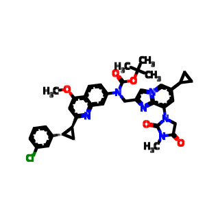 COc1cc([C@H]2C[C@@H]2c2cccc(Cl)c2)nc2cc(N(Cc3cn4cc(C5CC5)cc(N5CC(=O)N(C)C5=O)c4n3)C(=O)OC(C)(C)C)ccc12